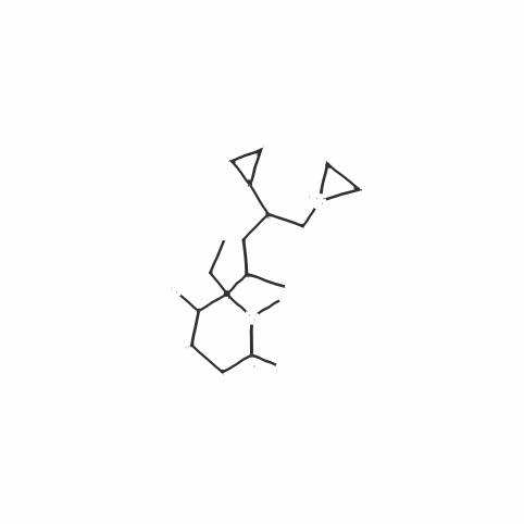 CCC1(C(C)CC(CN2CC2)C2CC2)C(N)CCC(C)N1C